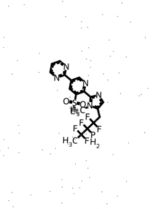 CCS(=O)(=O)c1cc(-c2ncccn2)cnc1-c1ncc(CC(F)(F)C(F)(P)C(C)(F)F)n1C